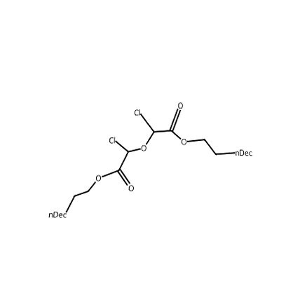 CCCCCCCCCCCCOC(=O)C(Cl)OC(Cl)C(=O)OCCCCCCCCCCCC